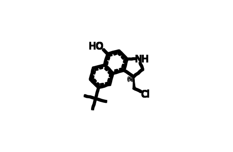 CC(C)(C)c1ccc2c(O)cc3c(c2c1)[C@H](CCl)CN3